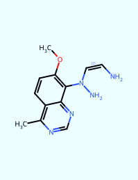 COc1ccc2c(C)ncnc2c1N(N)/C=C\N